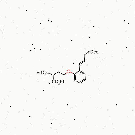 CCCCCCCCCCC/C=C/c1ccccc1OCCC(C(=O)OCC)C(=O)OCC